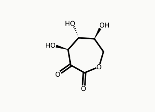 O=C1OC[C@H](O)[C@@H](O)[C@H](O)C1=O